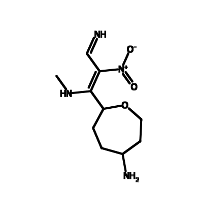 CN/C(=C(\C=N)[N+](=O)[O-])C1CCC(N)CCO1